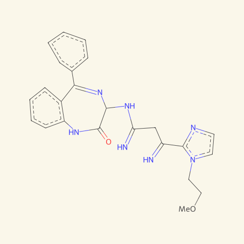 COCCn1ccnc1C(=N)CC(=N)NC1N=C(c2ccccc2)c2ccccc2NC1=O